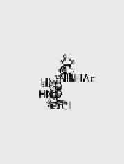 CC(=O)N[C@@H](Cc1ccccc1)C(=O)NCC(=O)N[C@@H](C)C(=O)N[C@@H](CC(C)C)C(=O)C(=O)CCl